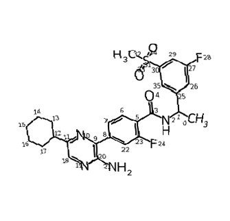 CC(NC(=O)c1ccc(-c2nc(C3CCCCC3)cnc2N)cc1F)c1cc(F)cc(S(C)(=O)=O)c1